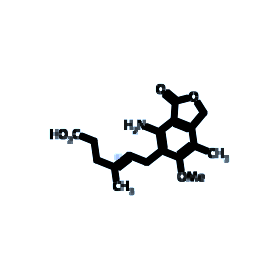 COc1c(C)c2c(c(N)c1C/C=C(\C)CCC(=O)O)C(=O)OC2